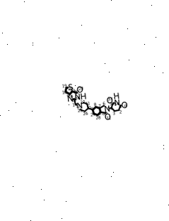 O=C1CCC(N2Cc3cc(C4CCN(Cc5nc6ccsc6c(=O)[nH]5)CC4)ccc3C2=O)C(=O)N1